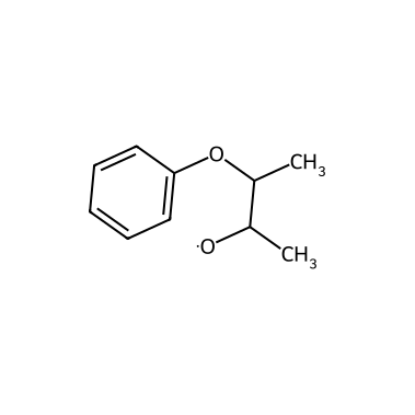 CC([O])C(C)Oc1ccccc1